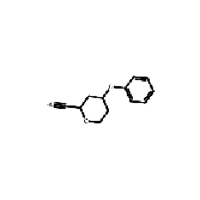 C#CC1CC(Oc2ccccc2)CCO1